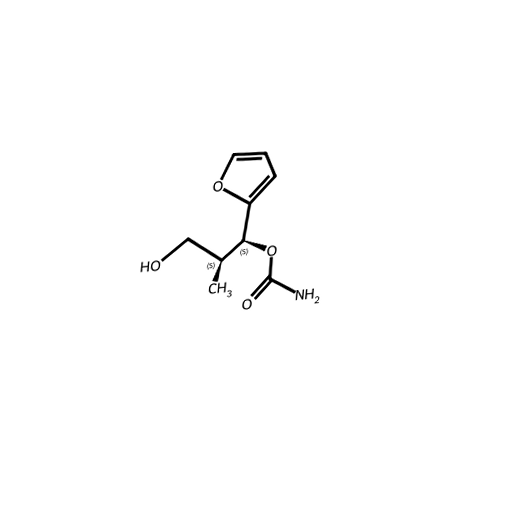 C[C@@H](CO)[C@H](OC(N)=O)c1ccco1